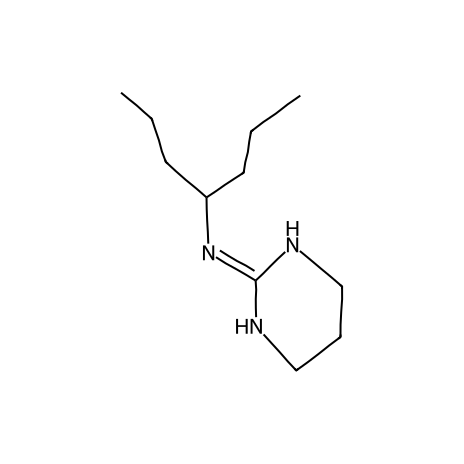 CCCC(CCC)N=C1NCCCN1